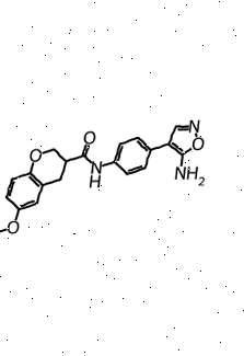 COc1ccc2c(c1)CC(C(=O)Nc1ccc(-c3cnoc3N)cc1)CO2